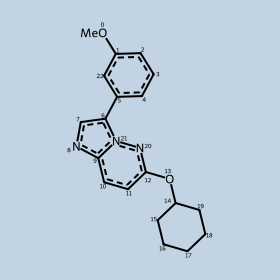 COc1cccc(-c2cnc3ccc(OC4CCCCC4)nn23)c1